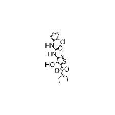 CCN(CC)S(=O)(=O)c1snc(NC(=O)Nc2ccsc2Cl)c1O